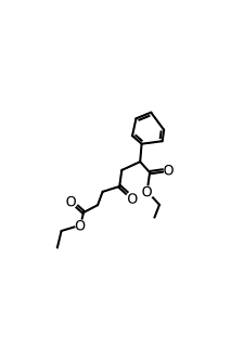 CCOC(=O)CCC(=O)CC(C(=O)OCC)c1ccccc1